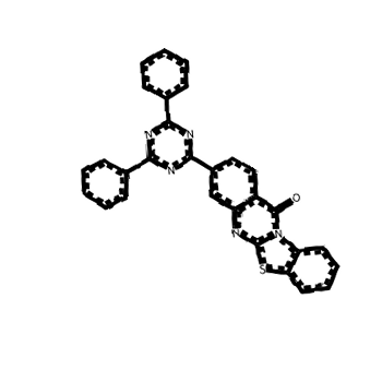 O=c1c2ccc(-c3nc(-c4ccccc4)nc(-c4ccccc4)n3)cc2nc2sc3ccccc3n12